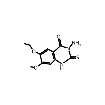 CCOc1cc2c(=O)n(N)c(=S)[nH]c2cc1OC